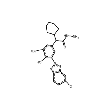 CC(C)(C)c1cc(C(C(=O)NN)C2CCCCC2)cc(-n2nc3ccc(Cl)cc3n2)c1O